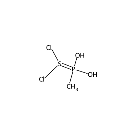 CP(O)(O)=S(Cl)Cl